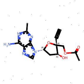 C#C[C@]1(COC(C)=O)O[C@@H](n2cnc3c(N)nc(C)nc32)C[C@@H]1O